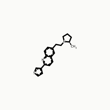 C[C@@H]1CCCN1CCc1ccc2nc(-c3ccsc3)ccc2c1